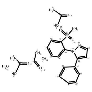 C.C=CC.NC(O)=S.NC(O)=S.NS(=O)(=O)c1ccccc1-n1nccc1-c1ccccc1.O